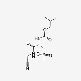 CC(C)COC(=O)NC(CS(C)(=O)=O)C(=O)NCC#N